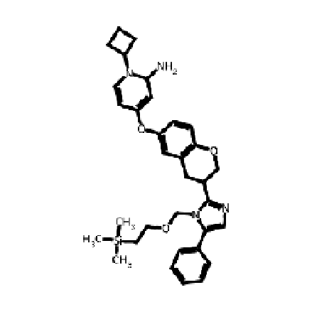 C[Si](C)(C)CCOCn1c(-c2ccccc2)cnc1C1COc2ccc(OC3=CC(N)N(C4CCC4)C=C3)cc2C1